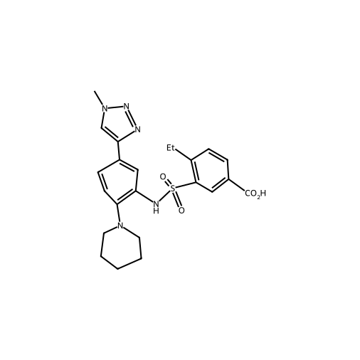 CCc1ccc(C(=O)O)cc1S(=O)(=O)Nc1cc(-c2cn(C)nn2)ccc1N1CCCCC1